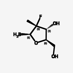 B[C@@H]1O[C@H](CO)[C@@H](O)[C@@]1(C)F